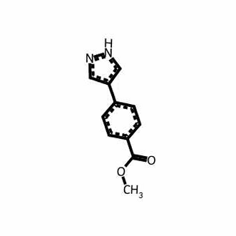 COC(=O)c1ccc(-c2cn[nH]c2)cc1